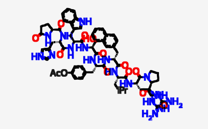 CC(=O)Oc1ccc(C[C@H](NC(=O)[C@H](CO)NC(=O)[C@H](Cc2c[nH]c3ccccc23)NC(=O)[C@H](Cc2c[nH]cn2)NC(=O)[C@@H]2CCC(=O)N2)C(=O)N[C@H](Cc2ccc3ccccc3c2)C(=O)N[C@@H](CC(C)C)C(=O)N[C@@H](CCCNC(=N)N)C(=O)N2CCC[C@H]2C(=O)NNC(N)=O)cc1